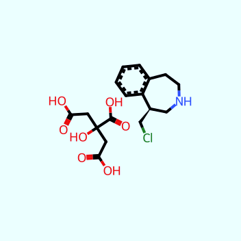 ClC[C@@H]1CNCCc2ccccc21.O=C(O)CC(O)(CC(=O)O)C(=O)O